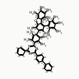 Bc1c(B)c(B)c(-c2c(B)c(-c3c(B)c(B)c(-c4nc(-c5ccccc5)nc(-c5ccc(-c6ccccc6)cc5)n4)c(B)c3B)c(B)c3oc4c(B)c(B)c(B)c(B)c4c23)c(B)c1B